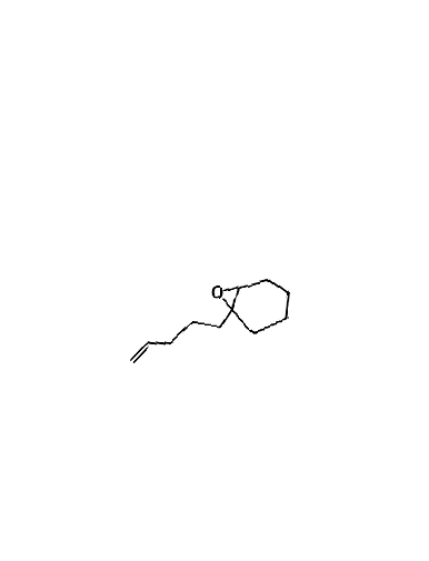 C=CCCCC12CCCCC1O2